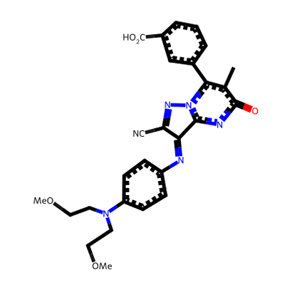 COCCN(CCOC)c1ccc(N=C2C(C#N)=Nn3c2nc(=O)c(C)c3-c2cccc(C(=O)O)c2)cc1